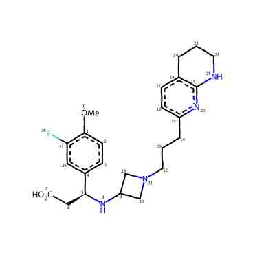 COc1ccc([C@H](CC(=O)O)NC2CN(CCCc3ccc4c(n3)NCCC4)C2)cc1F